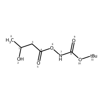 CC(O)CC(=O)ONC(=O)OC(C)(C)C